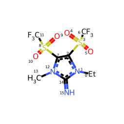 CCn1c(S(=O)(=O)C(F)(F)F)c(S(=O)(=O)C(F)(F)F)n(C)c1=N